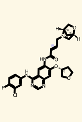 O=C(/C=C/CN1C[C@@H]2C[C@H]1CO2)Nc1cc2c(Nc3ccc(F)c(Cl)c3)ncnc2cc1O[C@@H]1CCOC1